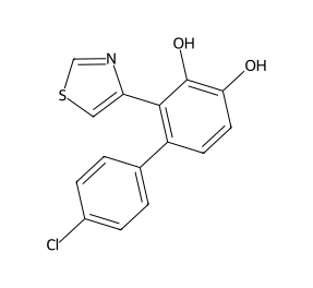 Oc1ccc(-c2ccc(Cl)cc2)c(-c2cscn2)c1O